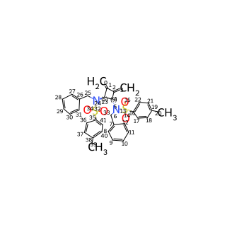 C=C1C(=C)[C@H](N(Cc2ccccc2)S(=O)(=O)c2ccc(C)cc2)[C@H]1N(Cc1ccccc1)S(=O)(=O)c1ccc(C)cc1